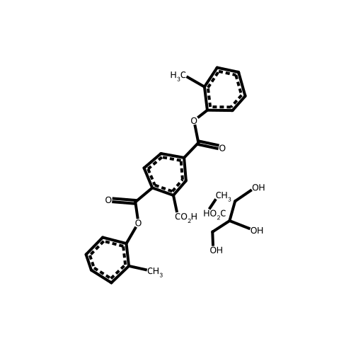 CC(=O)O.Cc1ccccc1OC(=O)c1ccc(C(=O)Oc2ccccc2C)c(C(=O)O)c1.OCC(O)CO